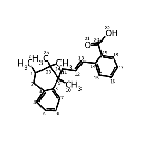 CC1Cc2ccccc2C(C)(CC=Cc2ccccc2C(=O)O)C1(C)C